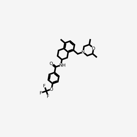 Cc1ccc(CN2CC(C)OC(C)C2)c2c1CCC(NC(=O)c1ccc(OC(F)(F)F)cc1)C2